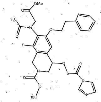 COC(=O)CN(C(=O)C(F)(F)F)c1c(OCCc2ccccc2)cc2c(c1F)CN(C(=O)OC(C)(C)C)CC2OSC(=O)n1ccnc1